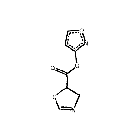 O=C(Oc1ccon1)C1CN=CO1